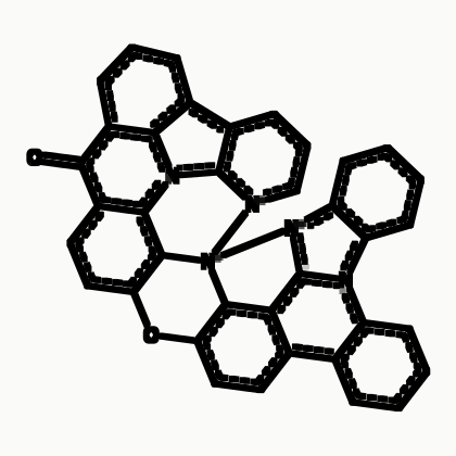 O=c1c2ccc3c4c2n2c5c1cccc5c1ccc[n+](c12)[N+]41c2c(ccc4c5ccccc5n5c6ccccc6[n+]1c5c24)O3